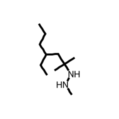 CCCC(CC)CC(C)(C)NNC